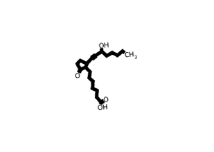 CCCCCC(O)C#CC1CCC(=O)C1CCCCCCC(=O)O